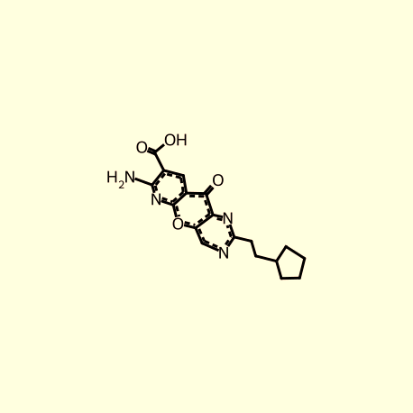 Nc1nc2oc3cnc(CCC4CCCC4)nc3c(=O)c2cc1C(=O)O